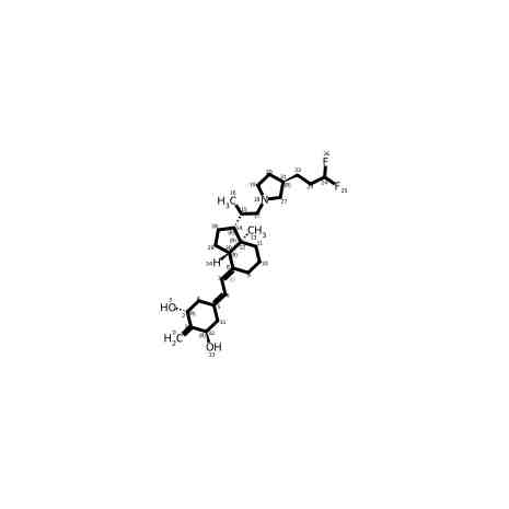 C=C1[C@H](O)CC(=C/C=C2\CCC[C@]3(C)[C@@H](C(C)CN4CC[C@@H](CCC(F)F)C4)CC[C@@H]23)C[C@H]1O